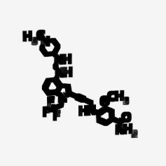 COc1cc(C(N)=O)ccc1NCC#Cc1cc2c(NCNC3CCN(C)CC3)cccc2n1CC(F)(F)F